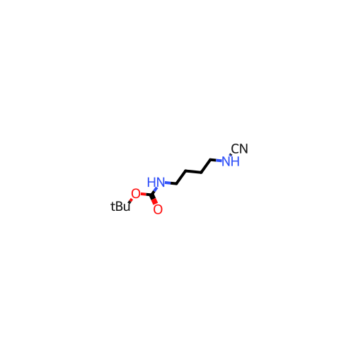 CC(C)(C)OC(=O)NCCCCNC#N